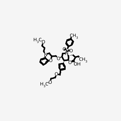 CCC(C[C@@H]1C[C@H](c2ccc(COCCOC)cc2)[C@@H](OCC2CN(CCCOC)c3ccccc3O2)CN1S(=O)(=O)c1ccc(C)cc1)C(=O)O